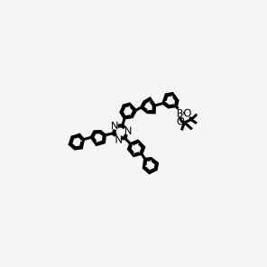 CC1(C)OB(c2cccc(-c3ccc(-c4cccc(-c5nc(-c6ccc(-c7ccccc7)cc6)nc(-c6ccc(-c7ccccc7)cc6)n5)c4)cc3)c2)OC1(C)C